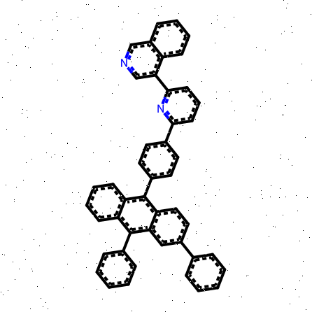 c1ccc(-c2ccc3c(-c4ccc(-c5cccc(-c6cncc7ccccc67)n5)cc4)c4ccccc4c(-c4ccccc4)c3c2)cc1